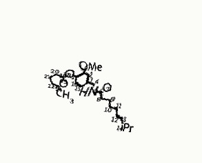 COc1cc(CNC(=O)CCCC/C=C/C(C)C)ccc1O[C@H]1CCC[C@@H](C)O1